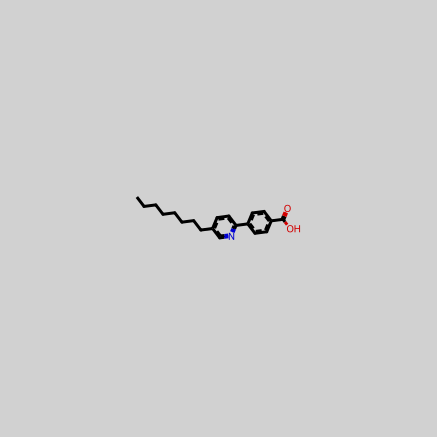 CCCCCCCCc1ccc(-c2ccc(C(=O)O)cc2)nc1